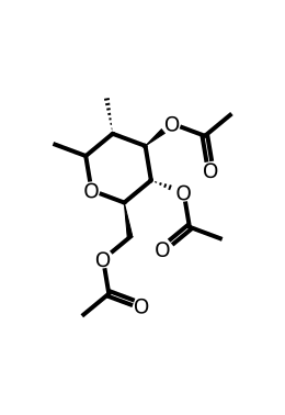 CC(=O)OC[C@H]1OC(C)[C@H](C)[C@@H](OC(C)=O)[C@@H]1OC(C)=O